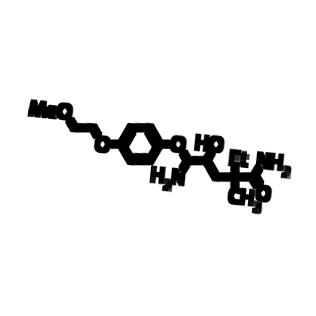 CCC(C)(CC(O)C(N)Oc1ccc(OCCOC)cc1)C(N)=O